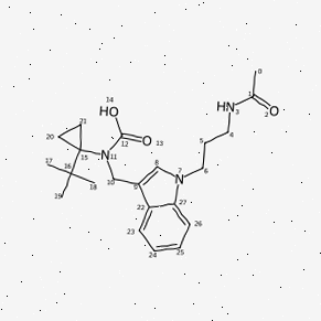 CC(=O)NCCCn1cc(CN(C(=O)O)C2(C(C)(C)C)CC2)c2ccccc21